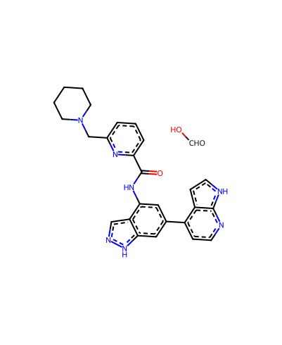 O=C(Nc1cc(-c2ccnc3[nH]ccc23)cc2[nH]ncc12)c1cccc(CN2CCCCC2)n1.O=CO